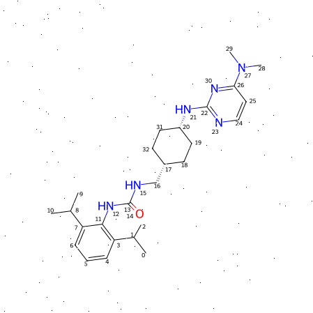 CC(C)c1cccc(C(C)C)c1NC(=O)NC[C@H]1CC[C@@H](Nc2nccc(N(C)C)n2)CC1